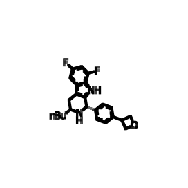 CCCC[C@H]1Cc2c([nH]c3c(F)cc(F)cc23)[C@H](c2ccc(C3COC3)cc2)N1